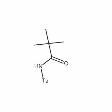 CC(C)(C)C(=O)[NH][Ta]